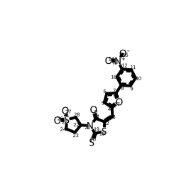 O=C1/C(=C\c2ccc(-c3cccc([N+](=O)[O-])c3)o2)SC(=S)N1C1CCS(=O)(=O)C1